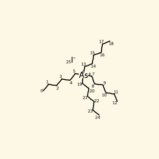 CCCCCC[As+](CCCCCC)(CCCCCC)CCCCCC.[I-]